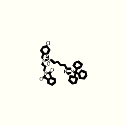 O=C1c2ccccc2C(=O)N1CCCN(Cc1ccc(Cl)cc1)S(=O)(=O)C=CCCCc1cn(C(c2ccccc2)(c2ccccc2)c2ccccc2)cn1